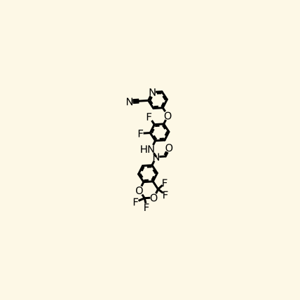 N#Cc1cc(Oc2ccc(NN(C=O)c3ccc4c(c3)C(F)(F)OC(F)(F)O4)c(F)c2F)ccn1